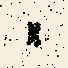 Cc1cc(C(C)(C)C)cc(C)c1N1c2cc(-c3csc4ccccc34)ccc2B2c3sc4ccc(C(C)(C)C)cc4c3N(c3c(C)cc(C(C)(C)C)cc3C)c3cccc1c32